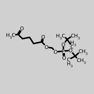 CC(=O)CCCC(=O)OCOP(=O)(OC(C)(C)C)OC(C)(C)C